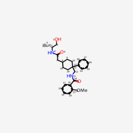 CC[C@@H](C)C(CO)NC(=O)CC1CCC(CNC(=O)c2ccccc2OC)(c2ccccc2)CC1